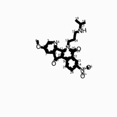 COc1cnc2c(c1)C(=O)c1c-2n(CCCNC(C)C)c(=O)c2cc([N+](=O)[O-])ccc12